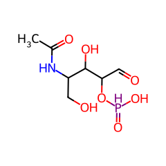 CC(=O)NC(CO)C(O)C(C=O)O[PH](=O)O